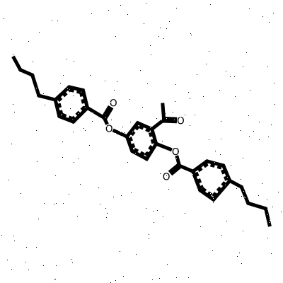 CCCCc1ccc(C(=O)Oc2ccc(OC(=O)c3ccc(CCCC)cc3)c(C(C)=O)c2)cc1